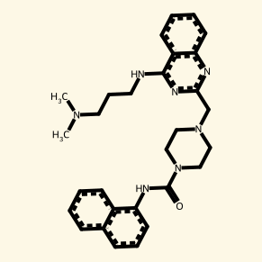 CN(C)CCCNc1nc(CN2CCN(C(=O)Nc3cccc4ccccc34)CC2)nc2ccccc12